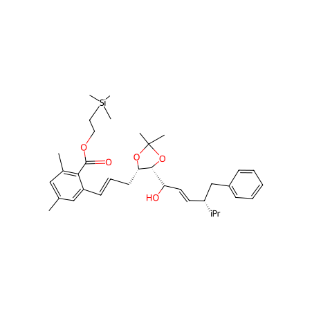 Cc1cc(C)c(C(=O)OCC[Si](C)(C)C)c(/C=C/C[C@@H]2OC(C)(C)O[C@@H]2C(O)C=C[C@H](Cc2ccccc2)C(C)C)c1